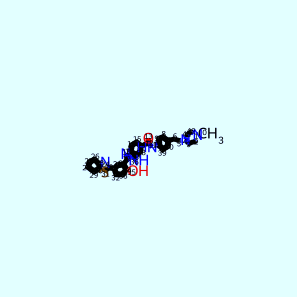 CN1CCN(CCc2ccc(NC(=O)c3ccc4nc(-c5cc(-c6nc7ccccc7s6)ccc5O)[nH]c4c3)cc2)CC1